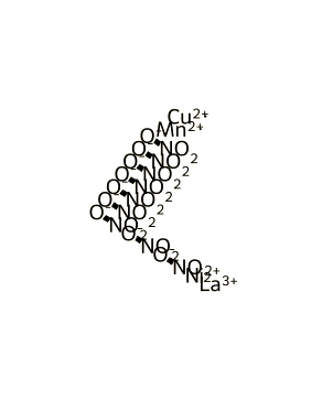 O=[N+]([O-])[O-].O=[N+]([O-])[O-].O=[N+]([O-])[O-].O=[N+]([O-])[O-].O=[N+]([O-])[O-].O=[N+]([O-])[O-].O=[N+]([O-])[O-].O=[N+]([O-])[O-].O=[N+]([O-])[O-].[Cu+2].[La+3].[Mn+2].[Ni+2]